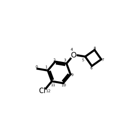 Cc1cc(OC2CCC2)ccc1Cl